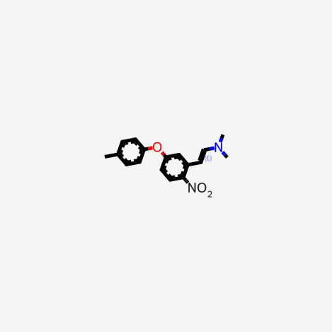 Cc1ccc(Oc2ccc([N+](=O)[O-])c(/C=C/N(C)C)c2)cc1